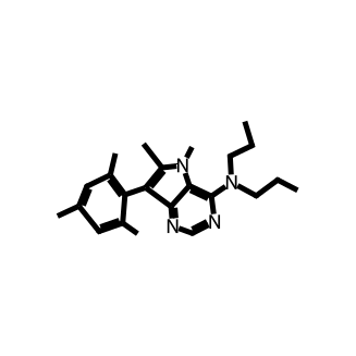 CCCN(CCC)c1ncnc2c(-c3c(C)cc(C)cc3C)c(C)n(C)c12